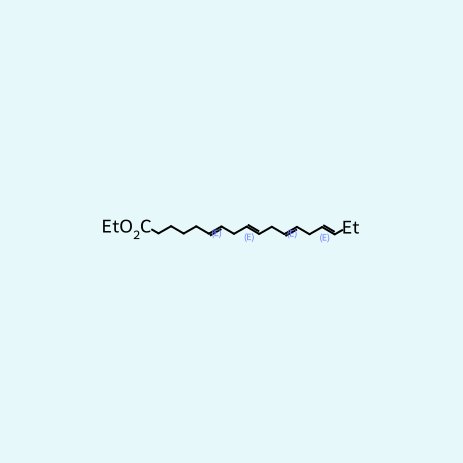 CC/C=C/C/C=C/C/C=C/C/C=C/CCCCC(=O)OCC